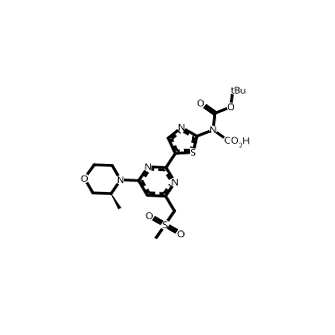 C[C@H]1COCCN1c1cc(CS(C)(=O)=O)nc(-c2cnc(N(C(=O)O)C(=O)OC(C)(C)C)s2)n1